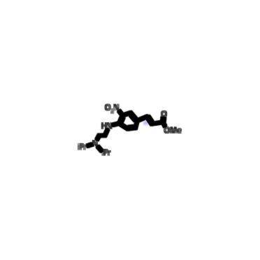 COC(=O)/C=C/c1ccc(NCCN(C(C)C)C(C)C)c([N+](=O)[O-])c1